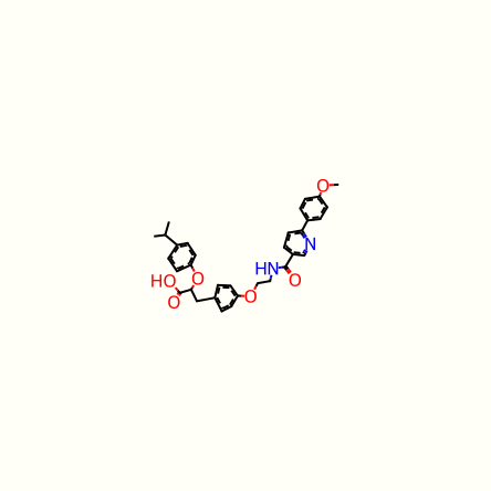 COc1ccc(-c2ccc(C(=O)NCCOc3ccc(CC(Oc4ccc(C(C)C)cc4)C(=O)O)cc3)cn2)cc1